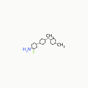 Cc1ccc(C(C)c2ccc(-c3ccc(N)c(F)c3)cc2)cc1